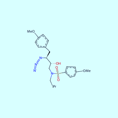 COc1ccc(C[C@H](N=[N+]=[N-])[C@H](O)CN(CC(C)C)S(=O)(=O)c2ccc(OC)cc2)cc1